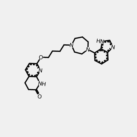 O=C1CCc2ccc(OCCCCN3CCCN(c4cccc5nc[nH]c45)CC3)nc2N1